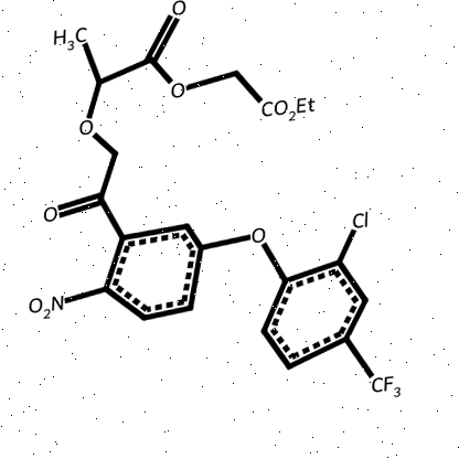 CCOC(=O)COC(=O)C(C)OCC(=O)c1cc(Oc2ccc(C(F)(F)F)cc2Cl)ccc1[N+](=O)[O-]